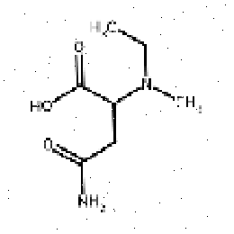 CCN(C)C(CC(N)=O)C(=O)O